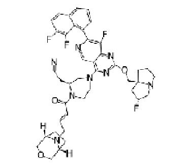 N#CC[C@H]1CN(c2nc(OC[C@@]34CCCN3C[C@H](F)C4)nc3c(F)c(-c4cccc5ccc(F)c(F)c45)ncc23)CCN1C(=O)/C=C/CN1[C@@H]2CC[C@H]1COC2